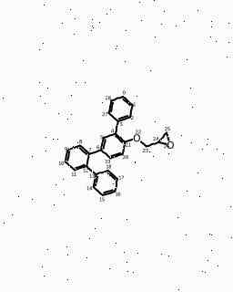 c1ccc(-c2cc(-c3ccccc3-c3ccccc3)ccc2OCC2CO2)cc1